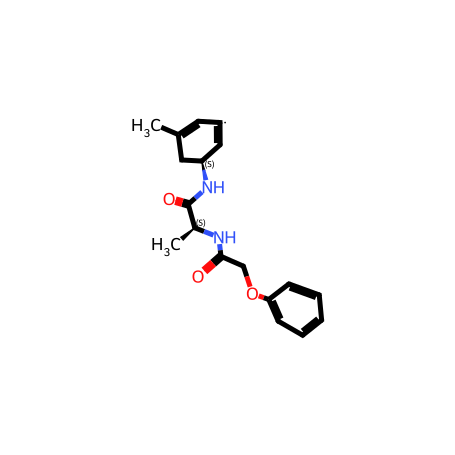 CC1=C[C]=C[C@@H](NC(=O)[C@H](C)NC(=O)COc2ccccc2)C1